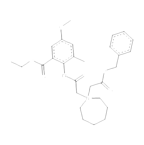 CCOC(=O)c1cc(OC)cc(C)c1NC(=O)C[N+]1(CC(=O)OCc2ccccc2)CCCCCC1